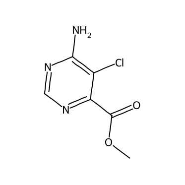 COC(=O)c1ncnc(N)c1Cl